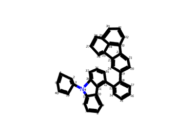 c1ccc(-n2c3ccccc3c3c(-c4ccccc4-c4ccc5c(c4)-c4cccc6cccc-5c46)cccc32)cc1